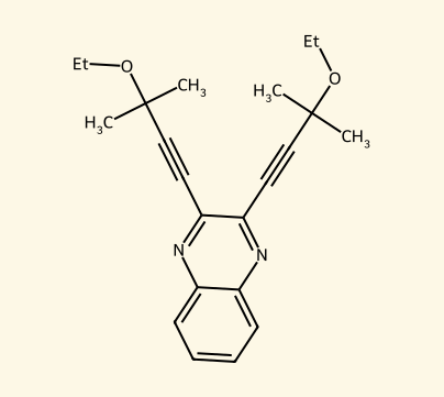 CCOC(C)(C)C#Cc1nc2ccccc2nc1C#CC(C)(C)OCC